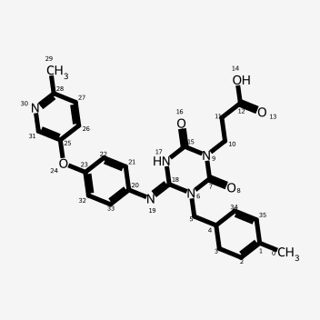 CC1=CCC(Cn2c(=O)n(CCC(=O)O)c(=O)[nH]/c2=N\c2ccc(Oc3ccc(C)nc3)cc2)C=C1